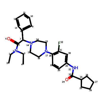 CCN(CC)C(=O)C(c1ccccc1)N1CCN(c2ccc(NC(=O)C3CCCC3)cc2F)CC1